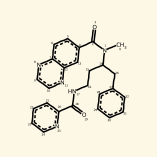 CN(C(=O)c1ccc2nccnc2c1)C(CCNC(=O)c1ccccn1)Cc1ccccc1